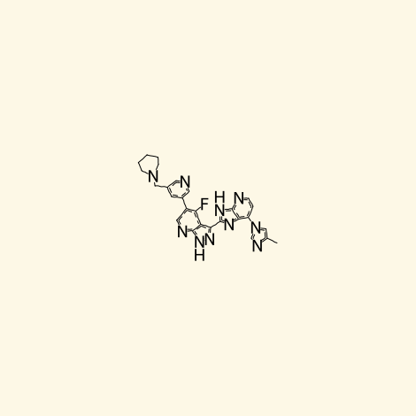 Cc1cn(-c2ccnc3[nH]c(-c4n[nH]c5ncc(-c6cncc(CN7CCCCC7)c6)c(F)c45)nc23)cn1